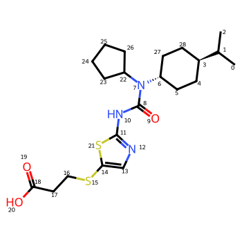 CC(C)[C@H]1CC[C@H](N(C(=O)Nc2ncc(SCCC(=O)O)s2)C2CCCC2)CC1